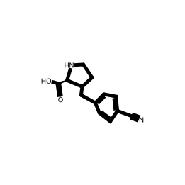 N#Cc1ccc(CC2CCN[C@@H]2C(=O)O)cc1